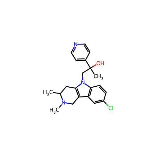 CC1Cc2c(c3cc(Cl)ccc3n2CC(C)(O)c2ccncc2)CN1C